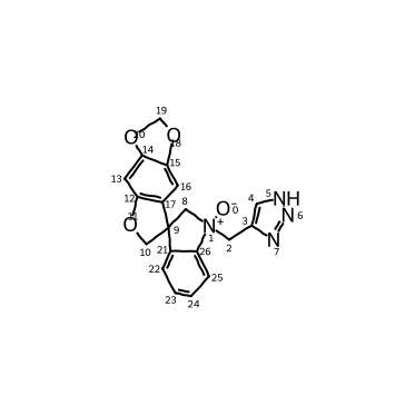 [O-][N+]1(Cc2c[nH]nn2)CC2(COc3cc4c(cc32)OCO4)c2ccccc21